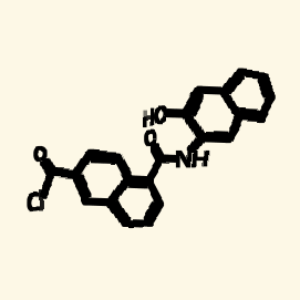 O=C(Cl)c1ccc2c(C(=O)Nc3cc4ccccc4cc3O)cccc2c1